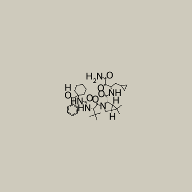 CC(C)(C)[C@H](NC(=O)NC1(C(O)c2ccccc2)CCCCC1)C(=O)N1C[C@H]2[C@@H]([C@H]1C(=O)NC(CC1CC1)C(=O)C(N)=O)C2(C)C